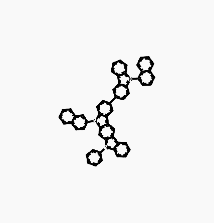 c1ccc(-n2c3ccccc3c3cc4c5cc(-c6ccc7c(c6)c6ccccc6n7-c6cccc7ccccc67)ccc5n(-c5ccc6ccccc6c5)c4cc32)cc1